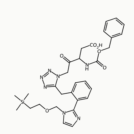 C[Si](C)(C)CCOCn1ccnc1-c1ccccc1Cc1nnnn1CC(=O)C(CC(=O)O)NC(=O)OCc1ccccc1